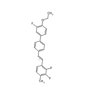 CCOc1ccc(-c2ccc(/C=C/c3ccc(C)c(F)c3F)cc2)cc1F